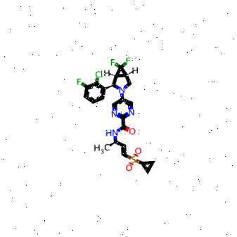 C[C@H](/C=C/S(=O)(=O)C1CC1)NC(=O)c1ncc(N2C[C@H]3[C@@H]([C@@H]2c2cccc(F)c2Cl)C3(F)F)cn1